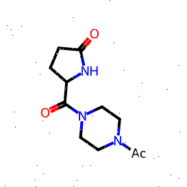 CC(=O)N1CCN(C(=O)C2CCC(=O)N2)CC1